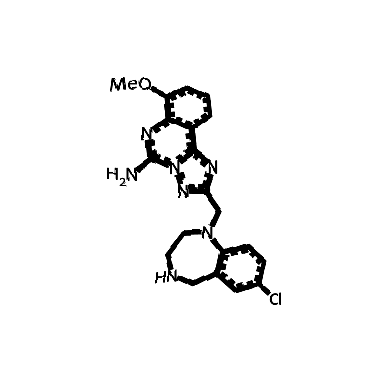 COc1cccc2c1nc(N)n1nc(CN3CCNCc4cc(Cl)ccc43)nc21